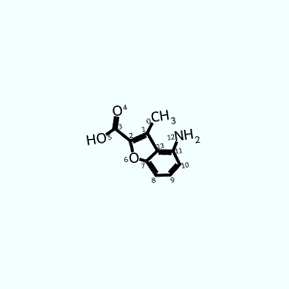 Cc1c(C(=O)O)oc2cccc(N)c12